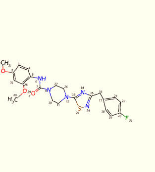 COc1ccc(NC(=O)N2CCN(c3nc(Cc4ccc(F)cc4)ns3)CC2)c(OC)c1